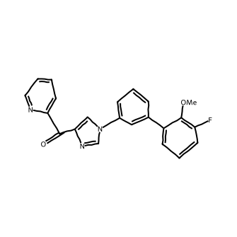 COc1c(F)cccc1-c1cccc(-n2cnc(C(=O)c3ccccn3)c2)c1